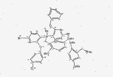 COc1ccc(OC)c(CNC(C)=O)c1.COc1ccc(OC)c(C[N+](C(C)=O)(c2ccc(Br)nc2Oc2ccccc2)c2ccc(Br)nc2Oc2ccc(Cl)cc2)c1